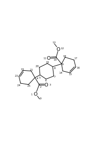 COC(=O)C1(C2CCC(C3(C(=O)OC)CC=CCC3)CC2)CC=CCC1